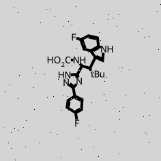 CC(C)(C)C(c1c[nH]c2ccc(F)cc12)C(NC(=O)O)c1nc(-c2ccc(F)cc2)n[nH]1